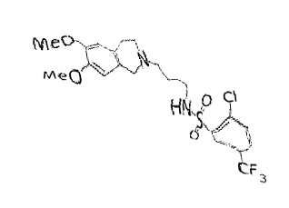 COc1cc2c(cc1OC)CN(CCCNS(=O)(=O)c1cc(C(F)(F)F)ccc1Cl)CC2